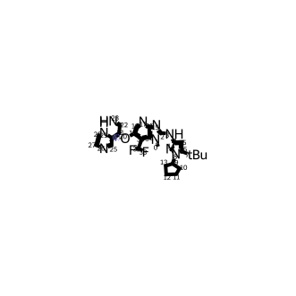 Cn1c(Nc2cc(C(C)(C)C)n(C3CCCC3)n2)nc2ncc(O/C(C=N)=C3\C=NC=CN3)c(C(F)F)c21